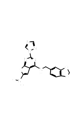 O=[N+]([O-])c1cc2c(NCc3ccc4c(c3)OCO4)nc(-n3cncn3)nc2s1